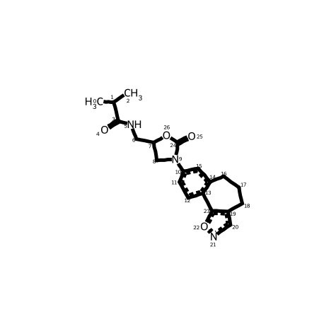 CC(C)C(=O)NCC1CN(c2ccc3c(c2)CCCc2cnoc2-3)C(=O)O1